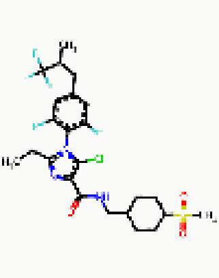 CCc1nc(C(=O)NCC2CCC(S(C)(=O)=O)CC2)c(Cl)n1-c1c(F)cc(CC(C)C(F)(F)F)cc1F